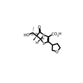 C[C@@H](O)[C@]1(C)C(=O)N2C(C(=O)O)=C(C3CCOC3)S[C@@H]21